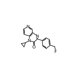 O=c1c(-c2ccc(CF)cc2)nc2cnccc2n1C1CC1